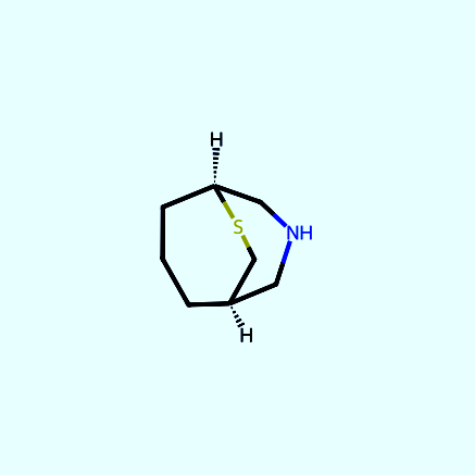 C1C[C@@H]2CNC[C@H](C1)SC2